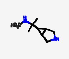 CC(C)(NC(=O)O)C1C2CNCC21